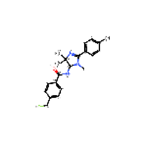 CN1C(c2ccc(C#N)cc2)=NC(C(F)(F)F)(C(F)(F)F)C1NC(=O)c1ccc(CF)cc1